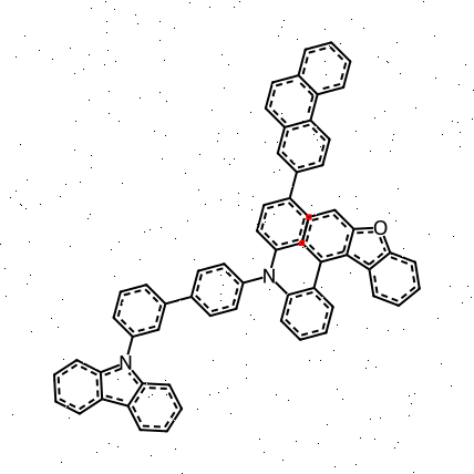 c1cc(-c2ccc(N(c3ccc(-c4ccc5c(ccc6ccccc65)c4)cc3)c3ccccc3-c3cccc4oc5ccccc5c34)cc2)cc(-n2c3ccccc3c3ccccc32)c1